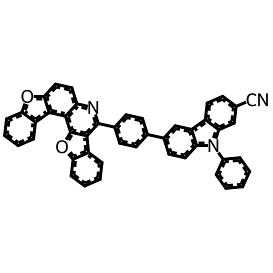 N#Cc1ccc2c3cc(-c4ccc(-c5nc6ccc7oc8ccccc8c7c6c6oc7ccccc7c56)cc4)ccc3n(-c3ccccc3)c2c1